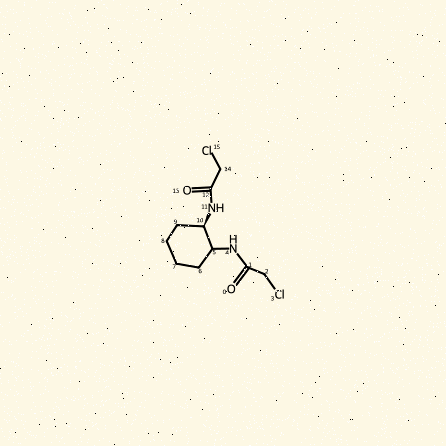 O=C(CCl)NC1CCCC[C@H]1NC(=O)CCl